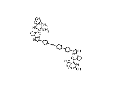 COC(=O)N[C@H](C(=O)N1CCCC1c1nc(-c2ccc(C#Cc3ccc(-c4ccc(-c5c[nH]c([C@@H]6CCCN6C(=O)[C@@H](NC(=O)O)C(C)C)n5)cc4)cc3)cc2)c[nH]1)C(C)C